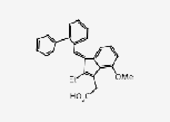 CCC1=C(CC(=O)O)c2c(OC)cccc2C1=Cc1ccccc1-c1ccccc1